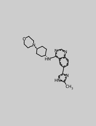 Cc1nc(-c2ccc3ncnc(N[C@H]4CC[C@H](N5CCOCC5)CC4)c3c2)c[nH]1